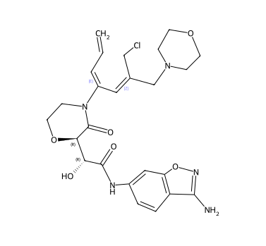 C=C/C=C(\C=C(/CCl)CN1CCOCC1)N1CCO[C@H]([C@@H](O)C(=O)Nc2ccc3c(N)noc3c2)C1=O